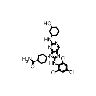 NC(=O)[C@H]1CC[C@H](n2c(Nc3c(Cl)cc(Cl)cc3Cl)nc3cnc(N[C@@H]4CCC[C@H](O)C4)nc32)CC1